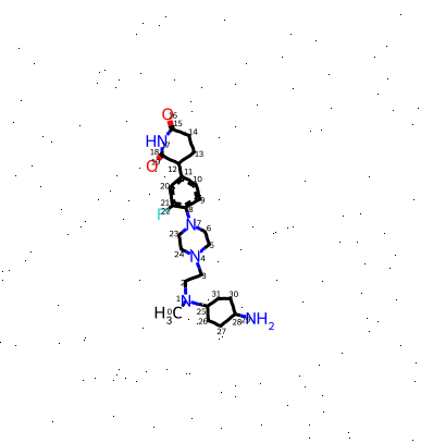 CN(CCN1CCN(c2ccc(C3CCC(=O)NC3=O)cc2F)CC1)C1CCC(N)CC1